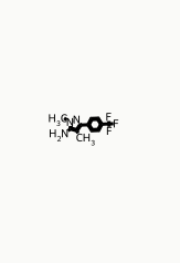 Cc1c(-c2ccc(C(F)(F)F)cc2)nn(C)c1N